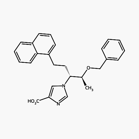 C[C@H](OCc1ccccc1)[C@@H](CCc1cccc2ccccc12)n1cnc(C(=O)O)c1